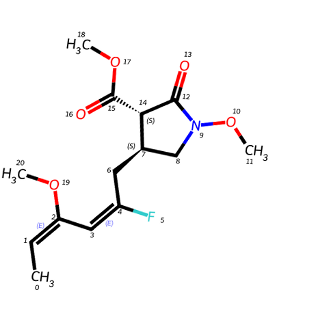 C/C=C(\C=C(\F)C[C@@H]1CN(OC)C(=O)[C@H]1C(=O)OC)OC